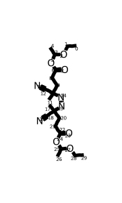 CCOC(C)OC(=O)CCC(C)(C#N)/N=N\C(C)(C#N)CCC(=O)OC(C)OCC